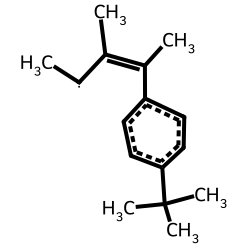 C[CH]C(C)=C(C)c1ccc(C(C)(C)C)cc1